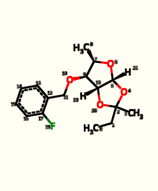 CCC1(C)O[C@H]2O[C@H](C)[C@H](OCc3ccccc3F)[C@H]2O1